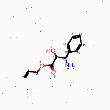 C=CCOC(=O)C(O)[C@H](N)c1ccccc1